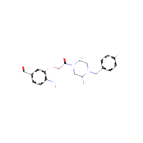 C[C@@H]1CN(Cc2ccc(F)cc2)[C@@H](C)CN1C(=O)COc1cc(C=O)ccc1[N+](=O)[O-]